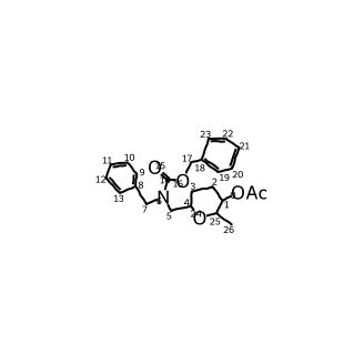 CC(=O)OC1CCC(CN(Cc2ccccc2)C(=O)OCc2ccccc2)OC1C